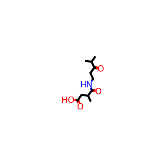 CC(C)C(=O)CCNC(=O)C(C)CC(=O)O